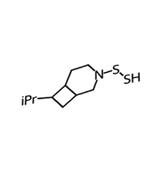 CC(C)C1CC2CN(SS)CCC21